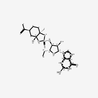 C=C(C)[C@H]1CC[C@@]2(C)S[P@](=S)(O[C@H]3[C@@H](F)[C@H](n4cnc5c(=O)[nH]c(O)nc54)O[C@@H]3CC)O[C@@H]2C1